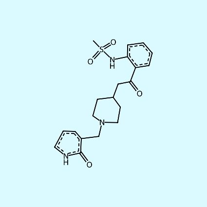 CS(=O)(=O)Nc1ccccc1C(=O)CC1CCN(Cc2ccc[nH]c2=O)CC1